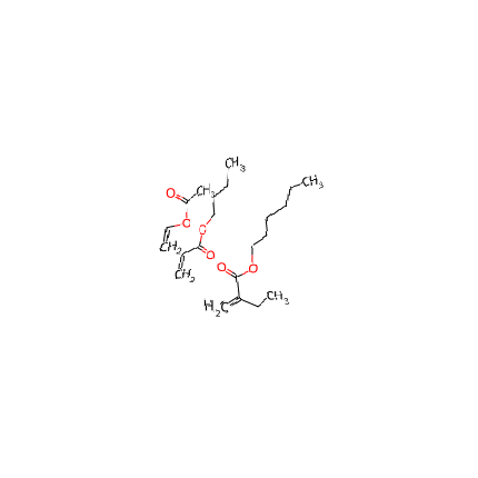 C=C(CC)C(=O)OCCCCCC.C=CC(=O)OCCCC.C=COC(C)=O